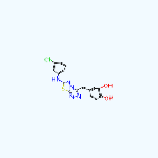 Oc1ccc(Cc2nnc3sc(Nc4cccc(Cl)c4)nn23)cc1O